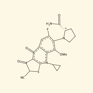 COc1c(N2CCC[C@H]2C(N)=O)c(F)cc2c(=O)c3c(n(C4CC4)c12)SC(C#N)C3=O